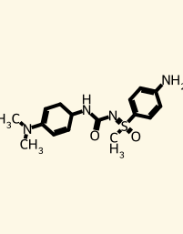 CN(C)C1=CCC(NC(=O)N=S(C)(=O)c2ccc(N)cc2)C=C1